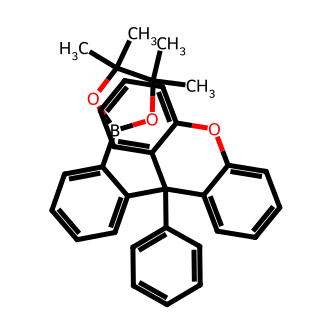 CC1(C)OB(c2ccccc2C2(c3ccccc3)c3ccccc3Oc3ccccc32)OC1(C)C